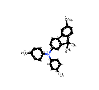 COc1ccc2c(c1)-c1ccc(N(c3ccc(C)cc3)c3ccc(C)cc3)cc1C2(C)C